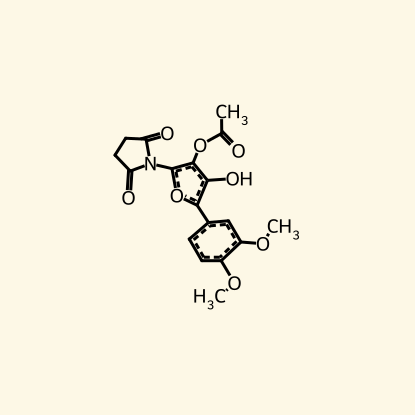 COc1ccc(-c2oc(N3C(=O)CCC3=O)c(OC(C)=O)c2O)cc1OC